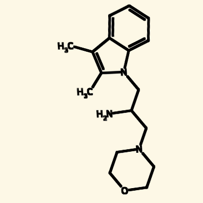 Cc1c(C)n(CC(N)CN2CCOCC2)c2ccccc12